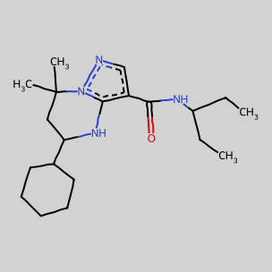 CCC(CC)NC(=O)c1cnn2c1NC(C1CCCCC1)CC2(C)C